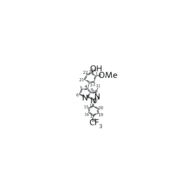 COc1cc(-c2ccnc3c2c(C)nn3-c2ccc(C(F)(F)F)cc2)ccc1O